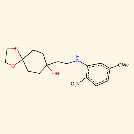 COc1ccc([N+](=O)[O-])c(NCCC2(O)CCC3(CC2)OCCO3)c1